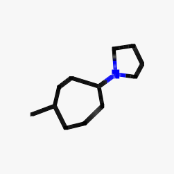 CC1CCCC(N2CCCC2)CC1